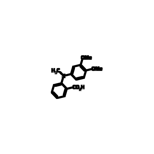 COc1ccc(N(C)c2ccccc2C(=O)O)cc1OC